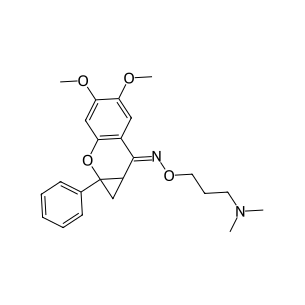 COc1cc2c(cc1OC)C(=NOCCCN(C)C)C1CC1(c1ccccc1)O2